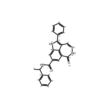 CC(NC(=O)c1cc2c3c(c(-c4ccccc4)[nH]c3c1)C=NNC2=O)c1ccccc1